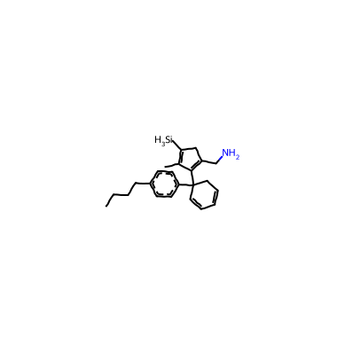 CCCCc1ccc(C2(C3=C(CN)CC([SiH3])=C3C)C=CC=CC2)cc1